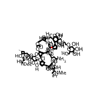 CCCCCCCCCCNCCNC1(C[C@@H](O)O[C@@H]2C(O)C(O)[C@@H](CO)O[C@H]2Oc2c3cc4cc2Oc2ccc(cc2Cl)[C@@H](O)[C@@H](NC(O)[C@@H](CC(C)C)NC)C(=O)NC(CC(N)=O)C(=O)N[C@H]4C(=O)N[C@H]2C(=O)N[C@H](C(=O)N[C@H](C(=O)O)c4cc(O)c(CNCCO[C@@H]5OC(CO)[C@H](O)[C@H](O)C5O)c(O)c4-c4cc2ccc4O)[C@H](O)c2ccc(c(Cl)c2)O3)C[C@@H](C)[C@@H]1O